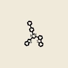 c1ccc(-c2ccc(-c3nc(-c4cc5ccccc5s4)cc(-c4cccc5c4sc4ccccc45)n3)cc2)cc1